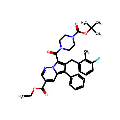 CCOC(=O)c1cnn2c(C(=O)N3CCN(C(=O)OC(C)(C)C)CC3)c(Cc3cccc(F)c3C)c(-c3ccccc3)c2c1